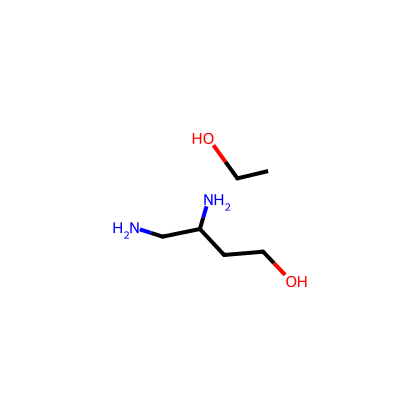 CCO.NCC(N)CCO